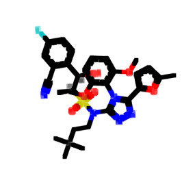 COc1cccc(OC)c1-n1c(-c2ccc(C)o2)nnc1N(CC[Si](C)(C)C)S(=O)(=O)[C@@H](C)[C@H](O)c1ccc(F)cc1C#N